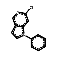 Clc1cc2c(ccn2-c2ccccc2)cn1